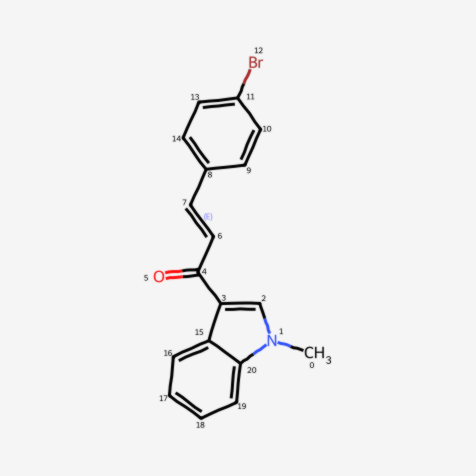 Cn1cc(C(=O)/C=C/c2ccc(Br)cc2)c2ccccc21